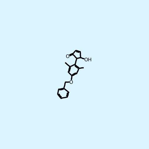 Cc1cc(OCc2ccccc2)cc(C)c1C1C(=O)C=CC1O